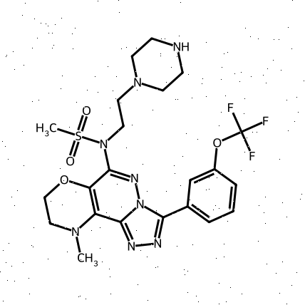 CN1CCOc2c(N(CCN3CCNCC3)S(C)(=O)=O)nn3c(-c4cccc(OC(F)(F)F)c4)nnc3c21